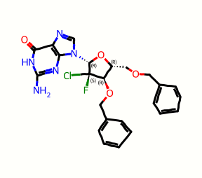 Nc1nc2c(ncn2[C@@H]2O[C@H](COCc3ccccc3)[C@@H](OCc3ccccc3)[C@]2(F)Cl)c(=O)[nH]1